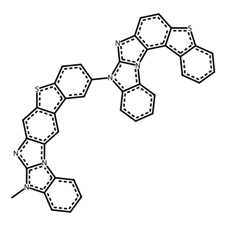 Cn1c2ccccc2n2c3cc4c(cc3nc12)sc1ccc(-n2c3ccccc3n3c5c(ccc6sc7ccccc7c65)nc23)cc14